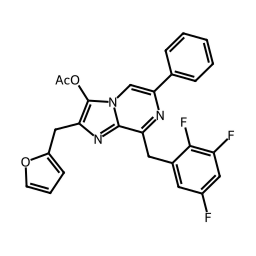 CC(=O)Oc1c(Cc2ccco2)nc2c(Cc3cc(F)cc(F)c3F)nc(-c3ccccc3)cn12